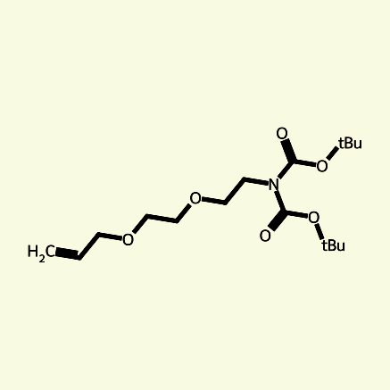 C=CCOCCOCCN(C(=O)OC(C)(C)C)C(=O)OC(C)(C)C